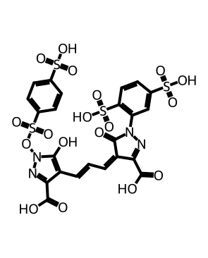 O=C(O)C1=NN(c2cc(S(=O)(=O)O)ccc2S(=O)(=O)O)C(=O)C1=CC=Cc1c(C(=O)O)nn(OS(=O)(=O)c2ccc(S(=O)(=O)O)cc2)c1O